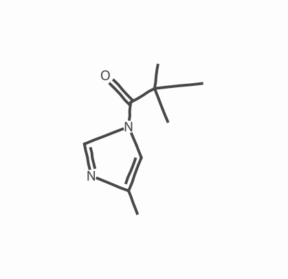 Cc1cn(C(=O)C(C)(C)C)cn1